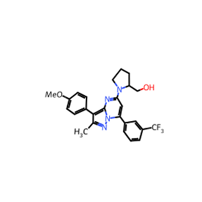 COc1ccc(-c2c(C)nn3c(-c4cccc(C(F)(F)F)c4)cc(N4CCCC4CO)nc23)cc1